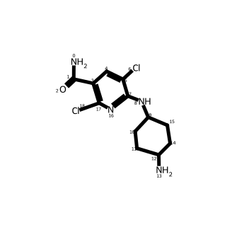 NC(=O)c1cc(Cl)c(NC2CCC(N)CC2)nc1Cl